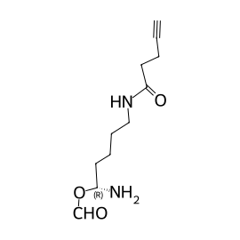 C#CCCC(=O)NCCCC[C@H](N)OC=O